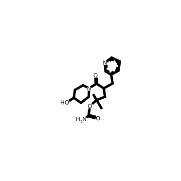 CC(C)(CC(Cc1cccnc1)C(=O)N1CCC(O)CC1)OC(N)=O